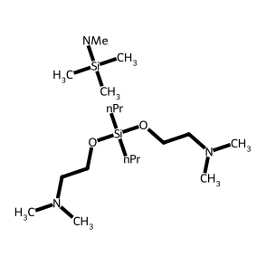 CCC[Si](CCC)(OCCN(C)C)OCCN(C)C.CN[Si](C)(C)C